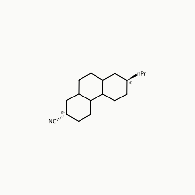 CCC[C@H]1CCC2C(CCC3C[C@@H](C#N)CCC32)C1